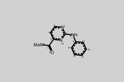 CNC(=O)c1ccnc(Nc2ccccc2)n1